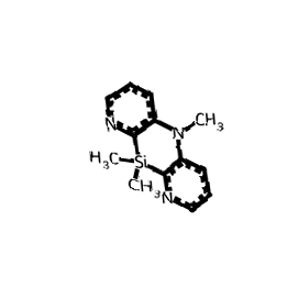 CN1c2cccnc2[Si](C)(C)c2ncccc21